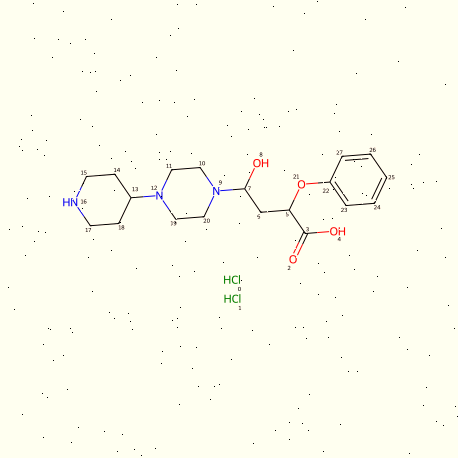 Cl.Cl.O=C(O)C(CC(O)N1CCN(C2CCNCC2)CC1)Oc1ccccc1